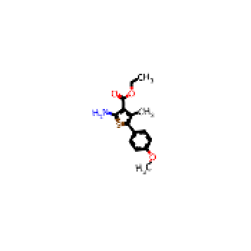 CCOC(=O)c1c(N)sc(-c2ccc(OC)cc2)c1C